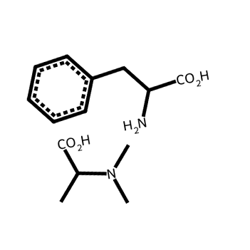 CC(C(=O)O)N(C)C.NC(Cc1ccccc1)C(=O)O